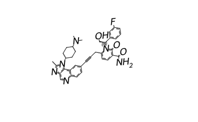 Cc1nc2cnc3ccc(C#CCc4ccc(C(N)=O)c(=O)n4[C@@H](CO)c4cccc(F)c4)cc3c2n1C1CCC(N(C)C)CC1